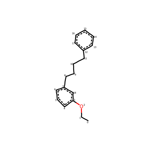 CCOc1cccc(CCCCc2ccccc2)c1